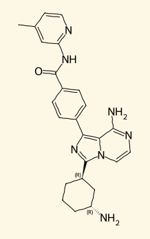 Cc1ccnc(NC(=O)c2ccc(-c3nc([C@@H]4CCC[C@@H](N)C4)n4ccnc(N)c34)cc2)c1